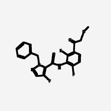 COCC(=O)c1ccc(F)c(NC(=O)c2c(F)cnn2Cc2ccccc2)c1F